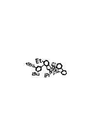 CCc1ccc2c(c1-c1cc(C(C)(C)C)cc(C(C)(C)C)c1)C=C(CC(C)C)[CH]2[Zr]([Cl])([Cl])[c]1cccc2c1[SiH2]c1ccccc1-2